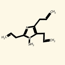 C=CCc1nc(CC=C)n([SiH3])c1CC=C